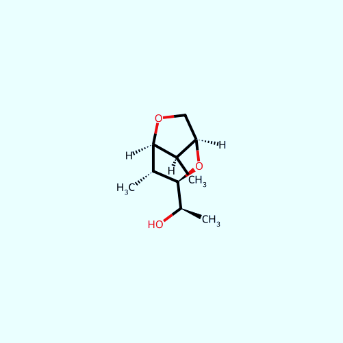 C[C@@H]1[C@H]2OC[C@@H](O[C@H]1[C@@H](C)O)[C@H]2C